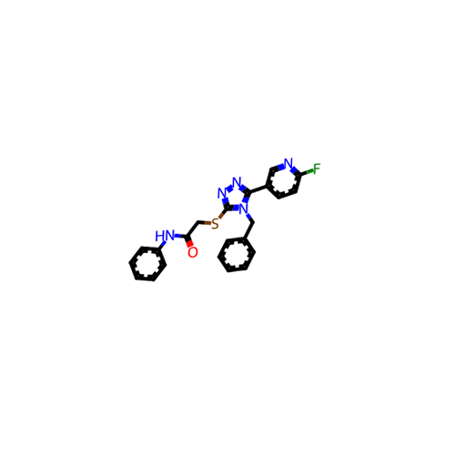 O=C(CSc1nnc(-c2ccc(F)nc2)n1Cc1ccccc1)Nc1ccccc1